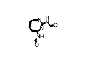 O=CNC1=CC=CC=NC(NC=O)=N1